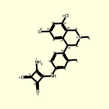 Cc1cc(Nc2c(N)c(=O)c2=O)ccc1C1CN(C)Cc2c(Cl)cc(Cl)cc21